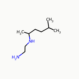 CC(C)CCC(C)NCCN